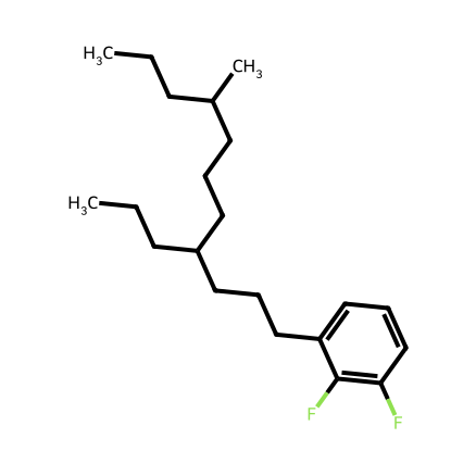 CCCC(C)CCCC(CCC)CCCc1cccc(F)c1F